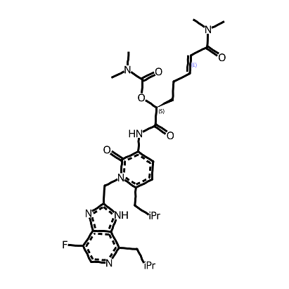 CC(C)Cc1ncc(F)c2nc(Cn3c(CC(C)C)ccc(NC(=O)[C@H](CC/C=C/C(=O)N(C)C)OC(=O)N(C)C)c3=O)[nH]c12